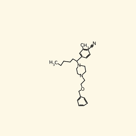 CCCCCC(c1ccc(C#N)c(C)c1)N1CCN(CCOCc2ccccc2)CC1